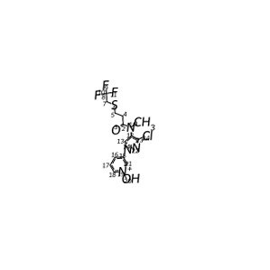 CN(C(=O)CCSCC(F)(F)F)c1cn(-c2ccc[n+](O)c2)nc1Cl